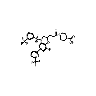 O=C(O)C1CCN(C(=O)CCC2CN(S(=O)(=O)c3cccc(C(F)(F)F)c3)c3cc(-c4cccc(C(F)(F)F)n4)cc(F)c3O2)CC1